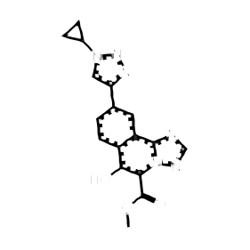 COC(=O)c1c(O)c2ccc(-c3cn(C4CC4)nn3)cc2c2ncnn12